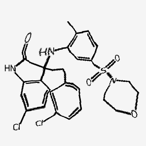 Cc1ccc(S(=O)(=O)N2CCOCC2)cc1NC1(Cc2cccc(Cl)c2)C(=O)Nc2cc(Cl)ccc21